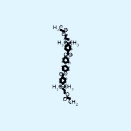 C=CC(=O)OCCC[Si](C)(C)c1ccc(C(=O)OC2CCC([C@H]3CC[C@H](OC(=O)c4ccc([Si](C)(C)CCCOC(=O)C=C)cc4)CC3)CC2)cc1